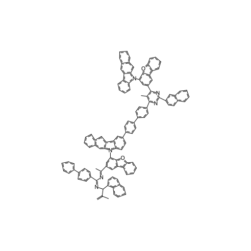 C=C(C)C(/N=C(\N=C(/C)c1cc(-n2c3ccc(-c4ccc(-c5ccc(-c6nc(-c7ccc8ccccc8c7)nc(-c7cc(-n8c9ccccc9c9cc%10ccccc%10cc98)c8oc9ccccc9c8c7)c6C)cc5)cc4)cc3c3cc4ccccc4cc32)c2oc3ccccc3c2c1)c1ccc(-c2ccccc2)cc1)c1cccc2ccccc12